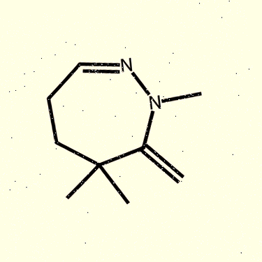 C=C1N(C)N=CCCC1(C)C